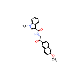 COc1ccc2cc(C(=O)CNC(=O)c3cn(C)c4ccccc34)ccc2c1